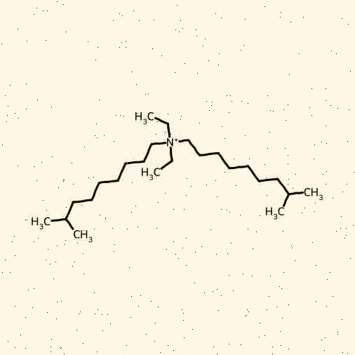 CC[N+](CC)(CCCCCCCC(C)C)CCCCCCCC(C)C